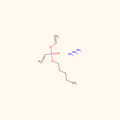 C=COP(=O)(C=C)OCCCCC.N.N.N